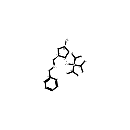 CC(C)[Si](O[C@H]1C[C@H](O)C[C@@H]1COCc1ccccc1)(C(C)C)C(C)C